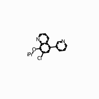 CC(C)Oc1c(Cl)cc(-c2cccnc2)c2cccnc12